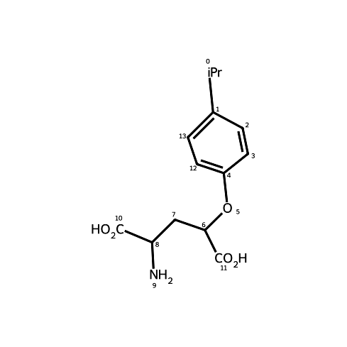 CC(C)c1ccc(OC(CC(N)C(=O)O)C(=O)O)cc1